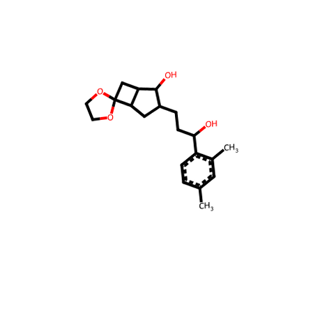 Cc1ccc(C(O)CCC2CC3C(CC34OCCO4)C2O)c(C)c1